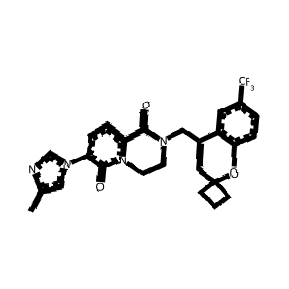 Cc1cn(-c2ccc3n(c2=O)CCN(CC2=CC4(CCC4)Oc4ccc(C(F)(F)F)cc42)C3=O)cn1